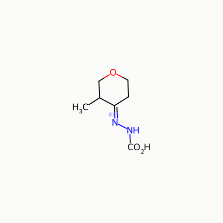 CC1COCC/C1=N\NC(=O)O